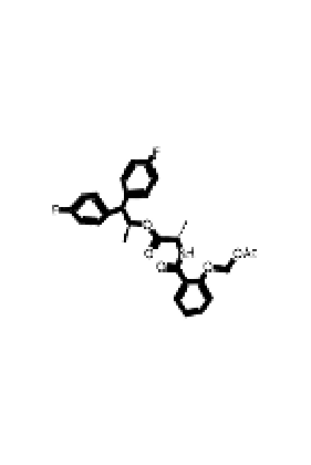 CC(=O)OCOc1ccccc1C(=O)N[C@@H](C)C(=O)O[C@@H](C)C(c1ccc(F)cc1)c1ccc(F)cc1